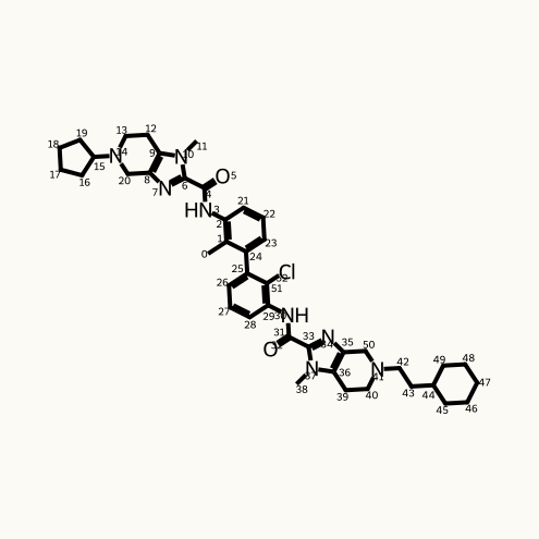 Cc1c(NC(=O)c2nc3c(n2C)CCN(C2CCCC2)C3)cccc1-c1cccc(NC(=O)c2nc3c(n2C)CCN(CCC2CCCCC2)C3)c1Cl